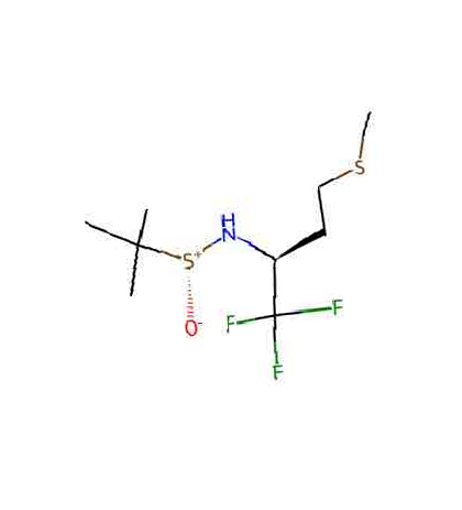 CSCC[C@H](N[S@+]([O-])C(C)(C)C)C(F)(F)F